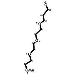 COCCOCCOCCOCCC[O]